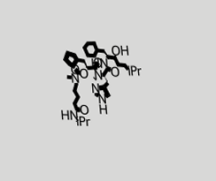 CC(C)CC[C@H](O)[C@H](CC1CCCCC1)NC(=O)[C@H](Cc1c[nH]cn1)N(C)C(=O)[C@H](Cc1ccccc1)OC(=O)N(C)CCCCC(=O)NC(C)C